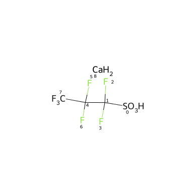 O=S(=O)(O)C(F)(F)C(F)(F)C(F)(F)F.[CaH2]